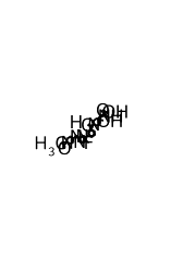 CC(=O)N1CCC(Nc2ncc(F)c(-c3cccc(C(=O)N4CCC(O)(CNC(=O)O)CC4)c3)n2)CC1